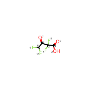 O=C(O)C(F)(F)C(=O)C(F)F